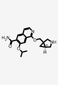 CC(C)Oc1cc2c(OCC34CNC[C@H]3C4)nccc2cc1C(N)=O